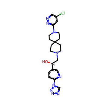 O[C@@H](CN1CCC2(CC1)CCN(c1cc(Cl)cnn1)CC2)c1ccc(-n2cnnn2)nc1